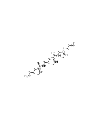 CNCCC[C@@H](CNC(=O)[C@H](CCCNC(=O)[C@H](CCCN)NC)NC)NC